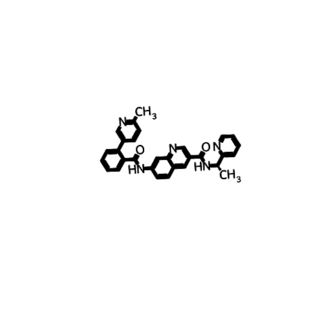 Cc1ccc(-c2ccccc2C(=O)Nc2ccc3cc(C(=O)N[C@H](C)c4ccccn4)cnc3c2)cn1